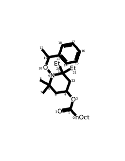 CCCCCCCCC(=O)OC1CC(C)(C)N(OC(C)c2ccccc2)C(CC)(CC)C1